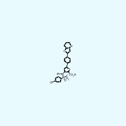 CC(C)N(c1cc(-c2ccc(-c3cc4ncccc4o3)cc2)sc1C(=O)O)P(C)(=O)c1ccc(Cl)cc1